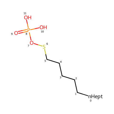 CCCCCCCCCCCCSOP(=O)(O)O